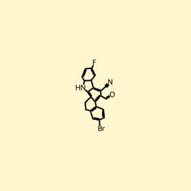 N#Cc1c(C=O)c2c(c3c1C1C=C(F)C=CC1N3)CCc1cc(Br)ccc1-2